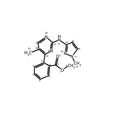 COC(=O)c1ccccc1-c1nc(Nc2ccn(C)n2)ncc1C